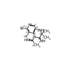 CC(=N)N1C(=N)C(C)(C)Nc2cnc(Br)c(F)c21